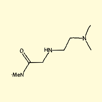 C[N]C(=O)CNCCN(C)C